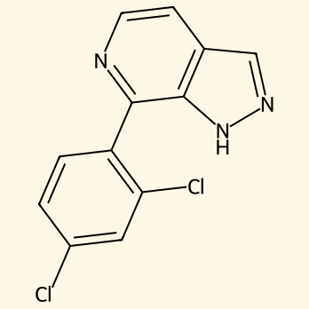 Clc1ccc(-c2nccc3cn[nH]c23)c(Cl)c1